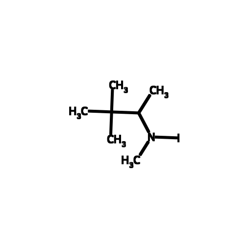 CC(N(C)I)C(C)(C)C